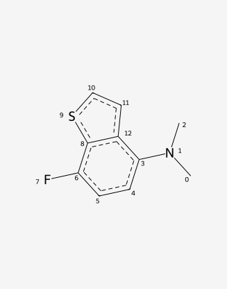 CN(C)c1ccc(F)c2sccc12